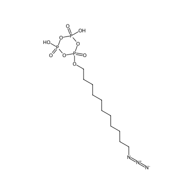 [N-]=[N+]=NCCCCCCCCCCCOP1(=O)OP(=O)(O)OP(=O)(O)O1